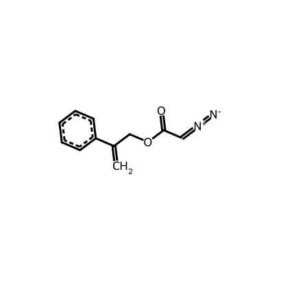 C=C(COC(=O)C=[N+]=[N-])c1ccccc1